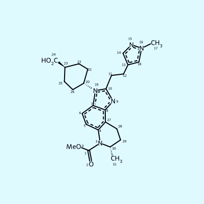 COC(=O)N1c2ccc3c(nc(CCc4cnn(C)c4)n3[C@H]3CC[C@H](C(=O)O)CC3)c2CC[C@@H]1C